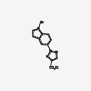 CCOC(=O)c1cnn(-c2ccc3c(ccn3C(C)C)c2)n1